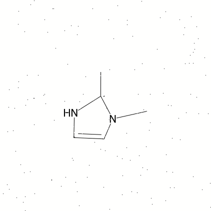 C[C]1NC=CN1C